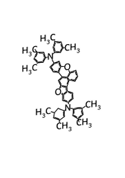 CC1=CC(C)CC(N(c2cc(C)cc(C)c2)c2ccc3c(c2)oc2cc4c5c(cccc5c23)Oc2cc(N(c3cc(C)cc(C)c3)c3cc(C)cc(C)c3)ccc2-4)=C1